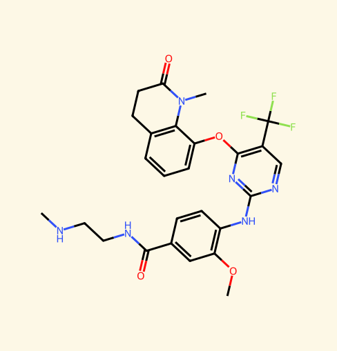 CNCCNC(=O)c1ccc(Nc2ncc(C(F)(F)F)c(Oc3cccc4c3N(C)C(=O)CC4)n2)c(OC)c1